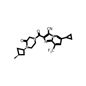 C[C@H]1C[C@@H](N2CCN(C(=O)c3nc4c(C(F)(F)F)cc(C5CC5)cn4c3C#N)CC2=O)C1